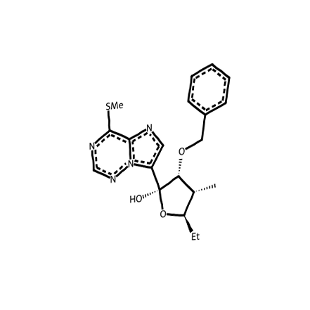 CC[C@H]1O[C@@](O)(c2cnc3c(SC)ncnn23)[C@H](OCc2ccccc2)[C@@H]1C